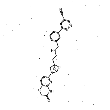 N#Cc1cnnc(-c2cccc(CNCCC34CN(c5ccc6c(n5)NC(=O)CO6)C(O3)O4)c2)c1